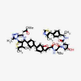 COC(=O)C[C@@H]1N=C(c2ccc(-c3ccc4cc(C(=O)N[C@H](C(=O)N5C[C@H](O)C[C@H]5C(=O)N[C@@H](C)c5ccc(-c6scnc6C)cc5)C(C)(C)C)oc4c3)cc2)c2c(sc(C)c2C)-n2c(C)nnc21